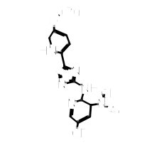 CC(=O)N(C)C1C=C(C(F)(F)F)C=NC1Nc1nsc(C2=CC=C(OC(C)(C)C)CN2)n1